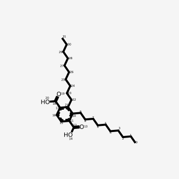 CCCCCCCCCCc1c(C(=O)O)ccc(C(=O)O)c1CCCCCCCCCC